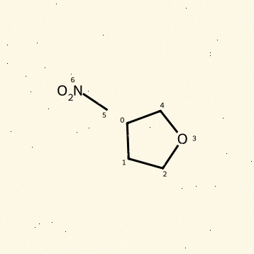 C1CCOC1.C[N+](=O)[O-]